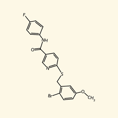 COc1ccc(Br)c(CSc2ccc(C(=O)Nc3ccc(F)cc3)cn2)c1